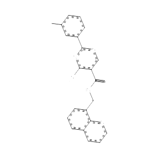 Nc1nc(-c2cccc(F)c2)ncc1C(=O)NCc1cccc2cccnc12